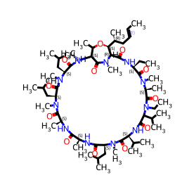 C/C=C/C[C@@H](C)[C@@H]1OC(C)[C@H]2C(=O)N(C)[C@H]1C(=O)N[C@@H](CC)C(=O)N(C)[C@@H](C)C(=O)N(CC)C(C(C)C)C(=O)N[C@@H](C(C)C)C(=O)N(C)[C@@H](CC(C)C)C(=O)N[C@@H](C)C(=O)N[C@@H](C)C(=O)N(C)[C@@H](CC(C)C)C(=O)N(C)[C@@H](CC(C)C)C(=O)N2C